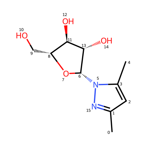 Cc1cc(C)n([C@@H]2O[C@H](CO)[C@@H](O)[C@@H]2O)n1